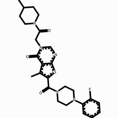 Cc1c(C(=O)N2CCN(c3ccccc3F)CC2)sc2ncn(CC(=O)N3CCC(C)CC3)c(=O)c12